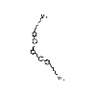 CCCCCCCCOc1ccc(C2CCC(CCc3cccc(CCC4CCC(c5ccc(OCCCCCCCC)cc5)CC4)c3)CC2)cc1